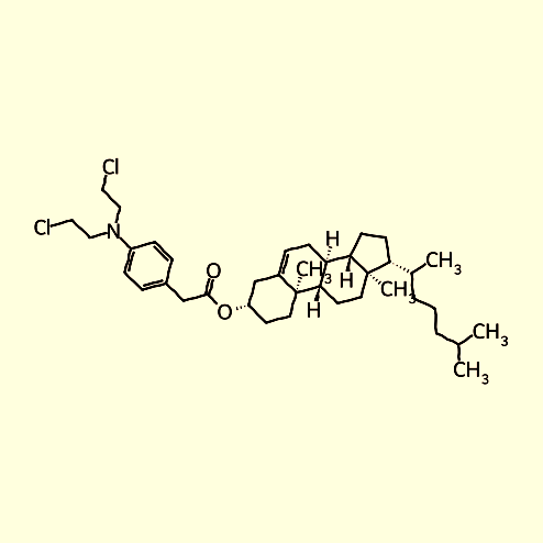 CC(C)CCCC(C)[C@H]1CC[C@H]2[C@@H]3CC=C4C[C@@H](OC(=O)Cc5ccc(N(CCCl)CCCl)cc5)CC[C@]4(C)[C@H]3CC[C@]12C